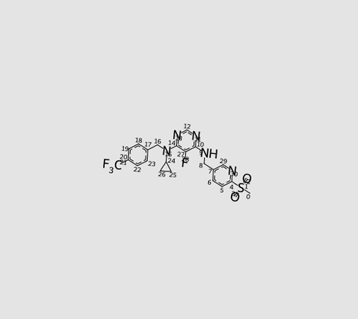 CS(=O)(=O)c1ccc(CNc2ncnc(N(Cc3ccc(C(F)(F)F)cc3)C3CC3)c2F)cn1